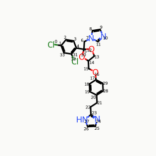 Clc1ccc(C2(Cn3ccnc3)OCC(COc3ccc(CCc4ncc[nH]4)cc3)O2)c(Cl)c1